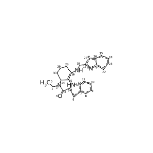 CCN(C(=O)c1cc2ccccc2[nH]1)[C@@H]1C=C(NCc2nc3ccccc3s2)CCC1